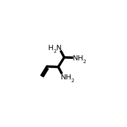 C=CC(N)C(N)N